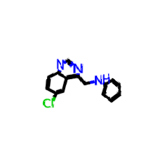 Clc1ccc2ncnc(CNc3ccccc3)c2c1